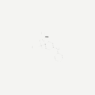 CC(C)(C)C1(NC(=O)O)CCC(NC2CCOCC2)CC1